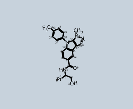 CC(C)C(CO)NC(=O)c1ccc2c(c1)c1nnn(C)c1n2-c1ccc(C(F)(F)F)cc1